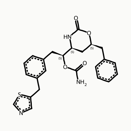 NC(=O)O[C@@H](Cc1cccc(Cc2cncs2)c1)[C@@H]1C[C@H](Cc2ccccc2)OC(=O)N1